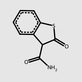 NC(=O)C1C(=O)Sc2ccccc21